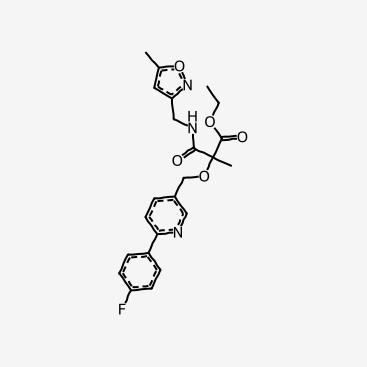 CCOC(=O)C(C)(OCc1ccc(-c2ccc(F)cc2)nc1)C(=O)NCc1cc(C)on1